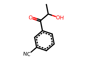 CC(O)C(=O)c1cccc(C#N)c1